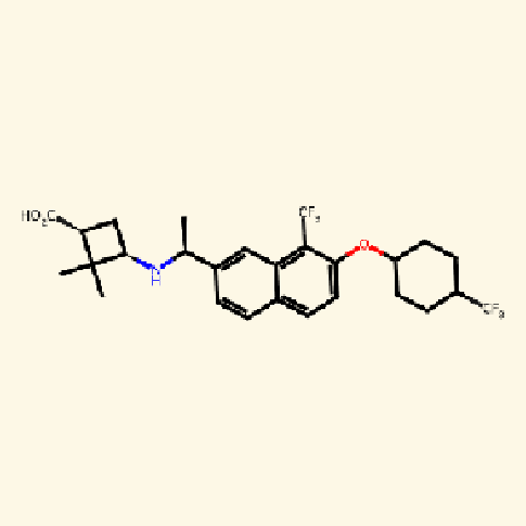 C[C@H](N[C@@H]1C[C@H](C(=O)O)C1(C)C)c1ccc2ccc(OC3CCC(C(F)(F)F)CC3)c(C(F)(F)F)c2c1